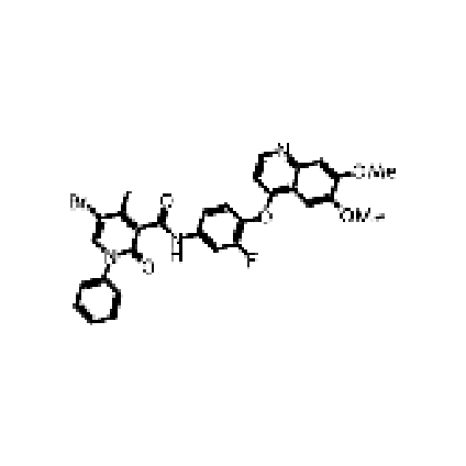 COc1cc2nccc(Oc3ccc(NC(=O)c4c(C)c(Br)cn(-c5ccccc5)c4=O)cc3F)c2cc1OC